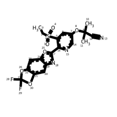 CCS(=O)(=O)c1cc(OC(C)(C)C#N)cnc1-c1nc2cc3c(cc2o1)OC(F)(F)O3